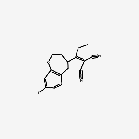 COC(=C(C#N)C#N)C1CCOc2cc(F)ccc2C1